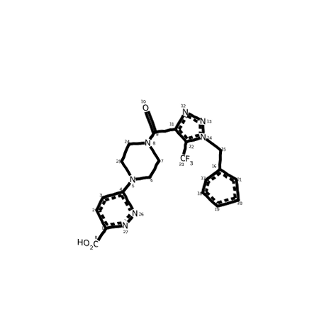 O=C(O)c1ccc(N2CCN(C(=O)c3nnn(Cc4ccccc4)c3C(F)(F)F)CC2)nn1